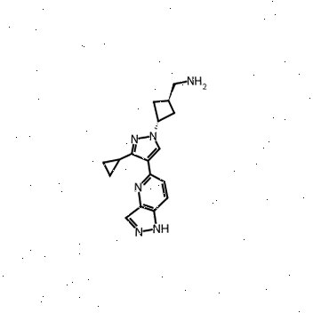 NC[C@H]1C[C@H](n2cc(-c3ccc4[nH]ncc4n3)c(C3CC3)n2)C1